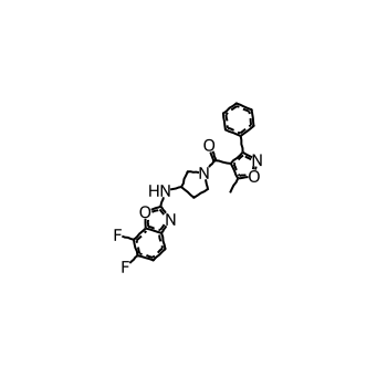 Cc1onc(-c2ccccc2)c1C(=O)N1CCC(Nc2nc3ccc(F)c(F)c3o2)C1